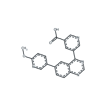 COc1ccc(-c2ccc3ncnc(-c4cncc(C(=O)O)c4)c3c2)cn1